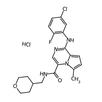 Cc1ccc2c(Nc3cc(Cl)ccc3F)ncc(C(=O)NCC3CCOCC3)n12.Cl